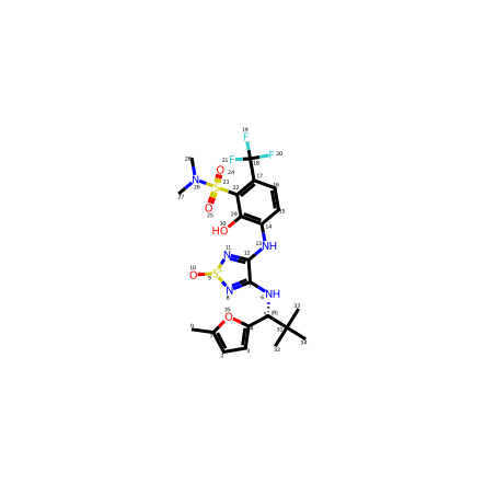 Cc1ccc([C@H](Nc2n[s+]([O-])nc2Nc2ccc(C(F)(F)F)c(S(=O)(=O)N(C)C)c2O)C(C)(C)C)o1